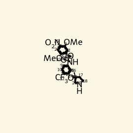 COc1cc(S(=O)(=O)Nc2ccc(C(F)(F)F)c(O[C@]3(C)CCNC3)c2)c(OC)cc1[N+](=O)[O-]